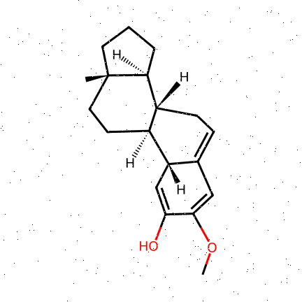 COC1=CC2=CC[C@@H]3[C@H](CC[C@]4(C)CCC[C@@H]34)[C@H]2C=C1O